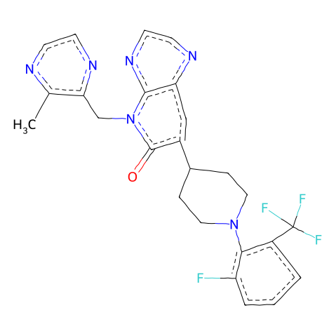 Cc1nccnc1Cn1c(=O)c(C2CCN(c3c(F)cccc3C(F)(F)F)CC2)cc2nccnc21